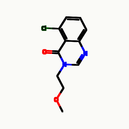 COCCn1cnc2cccc(Cl)c2c1=O